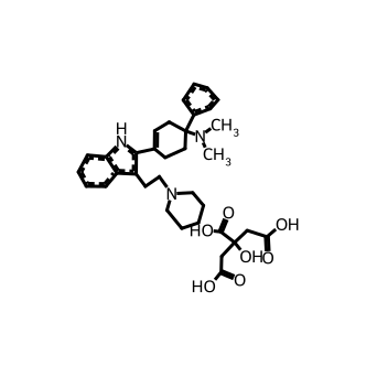 CN(C)C1(c2ccccc2)CC=C(c2[nH]c3ccccc3c2CCN2CCCCC2)CC1.O=C(O)CC(O)(CC(=O)O)C(=O)O